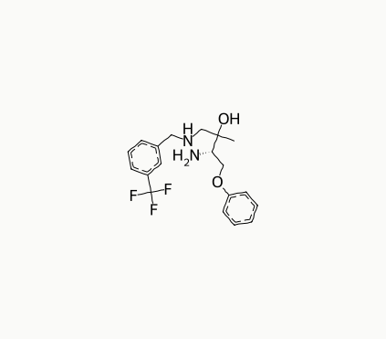 CC(O)(CNCc1cccc(C(F)(F)F)c1)[C@@H](N)COc1ccccc1